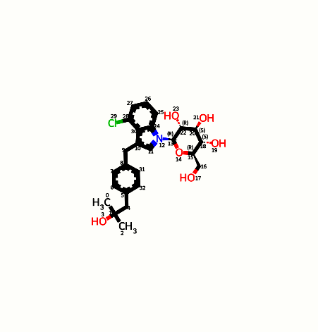 CC(C)(O)Cc1ccc(Cc2cn([C@@H]3O[C@H](CO)[C@@H](O)[C@H](O)[C@H]3O)c3cccc(Cl)c23)cc1